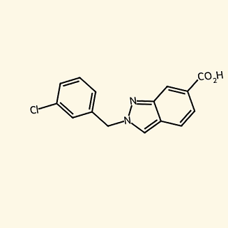 O=C(O)c1ccc2cn(Cc3cccc(Cl)c3)nc2c1